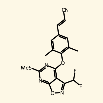 CSc1nc(Oc2c(C)cc(/C=C/C#N)cc2C)c2c(C(F)F)noc2n1